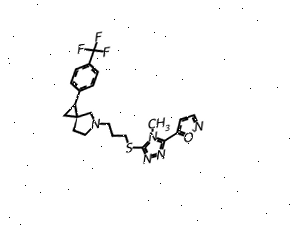 Cn1c(SCCCN2CC[C@]3(CC3c3ccc(C(F)(F)F)cc3)C2)nnc1-c1ccno1